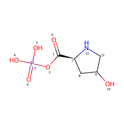 O=C(OP(=O)(O)O)[C@@H]1CC(O)CN1